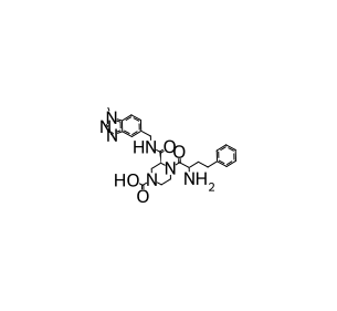 Cn1nnc2cc(CNC(=O)[C@@H]3CN(C(=O)O)CCN3C(=O)C(N)CCc3ccccc3)ccc21